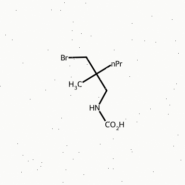 CCCC(C)(CBr)CNC(=O)O